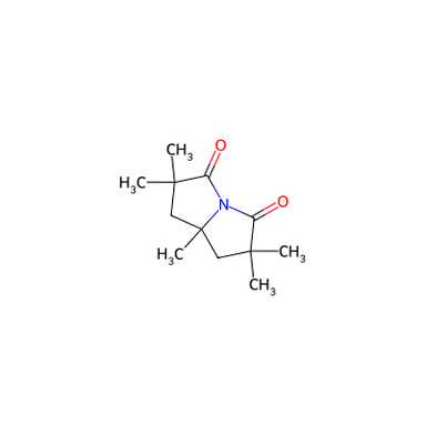 CC1(C)CC2(C)CC(C)(C)C(=O)N2C1=O